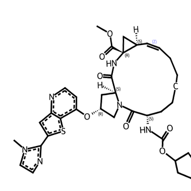 COC(=O)[C@@]12C[C@H]1/C=C\CCCCC[C@H](NC(=O)OC1CCCC1)C(=O)N1C[C@H](Oc3ccnc4cc(-c5nccn5C)sc34)C[C@H]1C(=O)N2